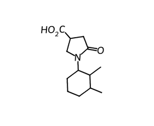 CC1CCCC(N2CC(C(=O)O)CC2=O)C1C